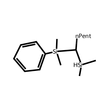 CCCCCC([SiH](C)C)[Si](C)(C)c1ccccc1